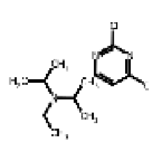 CCN(C(C)C)C(C)C.Clc1ccnc(Cl)n1